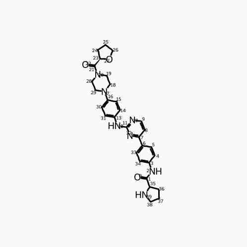 O=C(Nc1ccc(-c2ccnc(Nc3ccc(N4CCN(C(=O)[C@H]5CCCO5)CC4)cc3)n2)cc1)C1CCCN1